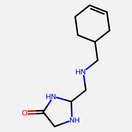 O=C1CNC(CNCC2CC=CCC2)N1